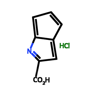 Cl.O=C(O)C1=NC2=CC=CC2=C1